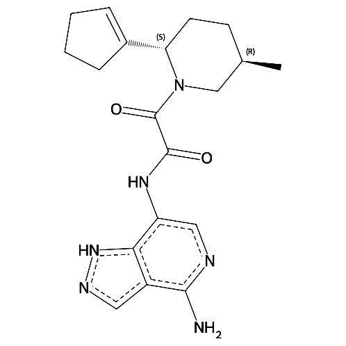 C[C@@H]1CC[C@@H](C2=CCCC2)N(C(=O)C(=O)Nc2cnc(N)c3cn[nH]c23)C1